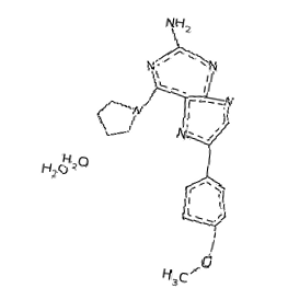 COc1ccc(-c2cnc3nc(N)nc(N4CCCC4)c3n2)cc1.O.O